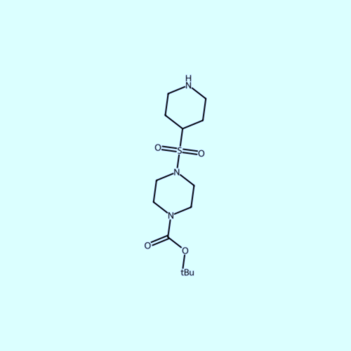 CC(C)(C)OC(=O)N1CCN(S(=O)(=O)C2CCNCC2)CC1